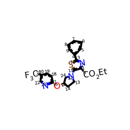 CCOC(=O)c1nc(-c2ccccc2)sc1N1CC[C@H](Oc2ccc(C(F)(F)F)cn2)C1